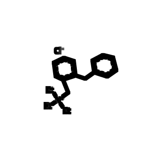 CC[N+](CC)(CC)Cc1ccccc1Cc1ccccc1.[Cl-]